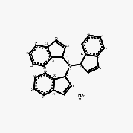 C1=CC([SiH](C2C=Cc3ccccc32)C2C=Cc3ccccc32)c2ccccc21.[Na]